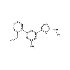 CC(C)Nc1ncc(-c2cc(-c3ccccc3CO)nc(N)n2)s1